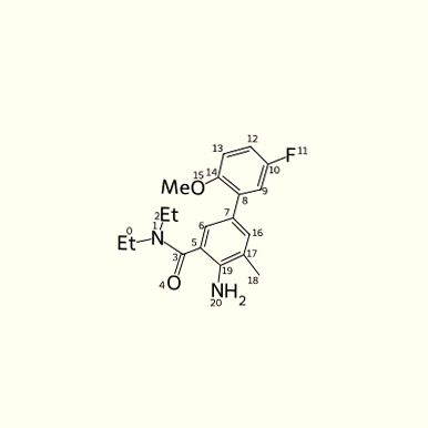 CCN(CC)C(=O)c1cc(-c2cc(F)ccc2OC)cc(C)c1N